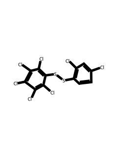 Clc1ccc(SSc2c(Cl)c(Cl)c(Cl)c(Cl)c2Cl)c(Cl)c1